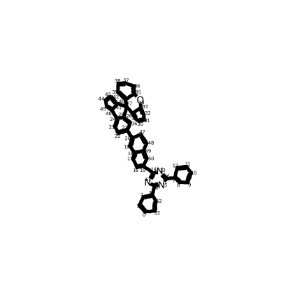 c1ccc(-c2nc(-c3ccccc3)nc(-c3ccc4cc(-c5ccc6c(c5)C5(c7ccccc7Oc7ccccc75)c5ccccc5-6)ccc4c3)n2)cc1